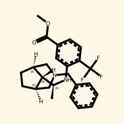 COC(=O)c1ccc(C(F)(F)F)c(N[C@@H](C)[C@@H]2[C@@H]3CC[C@H]2CN(Cc2ccccc2)C3)c1